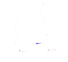 CC=CC=CC(=O)O.NCCCC[C@H](N)C(=O)O